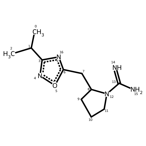 CC(C)c1noc(CC2CCCN2C(=N)N)n1